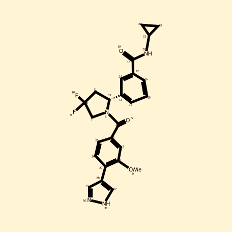 COc1cc(C(=O)N2CC(F)(F)C[C@@H]2c2cccc(C(=O)NC3CC3)c2)ccc1-c1cn[nH]c1